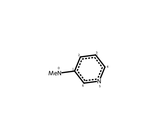 CNc1c[c]cnc1